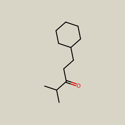 CC(C)C(=O)CCC1CCCCC1